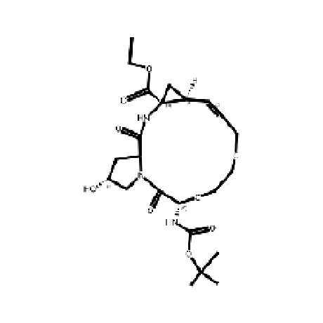 CCOC(=O)[C@@]12C[C@H]1/C=C\CCCCC[C@H](NC(=O)OC(C)(C)C)C(=O)N1C[C@H](O)CC1C(=O)N2